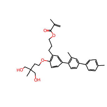 C=C(C)C(=O)OCCCc1cc(-c2ccc(-c3ccc(C)cc3)cc2C)ccc1OCCC(C)(CO)CO